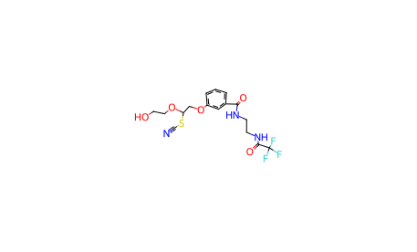 N#CSC(COc1cccc(C(=O)NCCNC(=O)C(F)(F)F)c1)OCCO